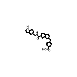 O=C(O)c1ccc(Cc2ccc3ccc(C(=O)NCc4ccc5[nH]ccc5c4)cc3c2)cc1